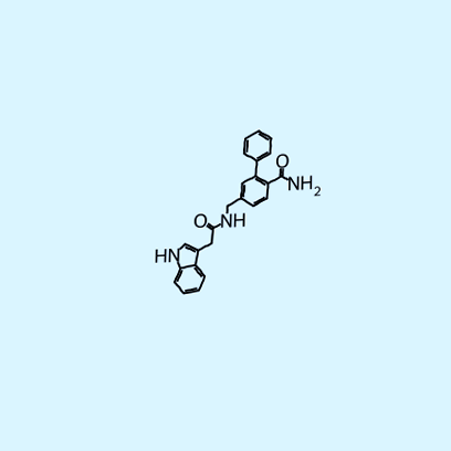 NC(=O)c1ccc(CNC(=O)Cc2c[nH]c3ccccc23)cc1-c1ccccc1